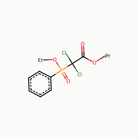 CCOP(=O)(c1ccccc1)C(Cl)(Cl)C(=O)OC(C)C